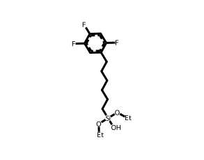 CCO[Si](O)(CCCCCCc1cc(F)c(F)cc1F)OCC